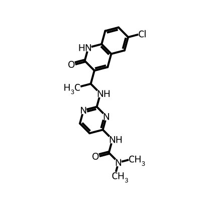 CC(Nc1nccc(NC(=O)N(C)C)n1)c1cc2cc(Cl)ccc2[nH]c1=O